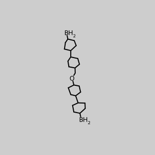 BC1CCC(C2CCC(COC3CCC(C4CCC(B)CC4)CC3)CC2)CC1